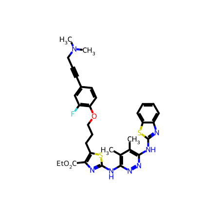 CCOC(=O)c1nc(Nc2nnc(Nc3nc4ccccc4s3)c(C)c2C)sc1CCCOc1ccc(C#CCN(C)C)cc1F